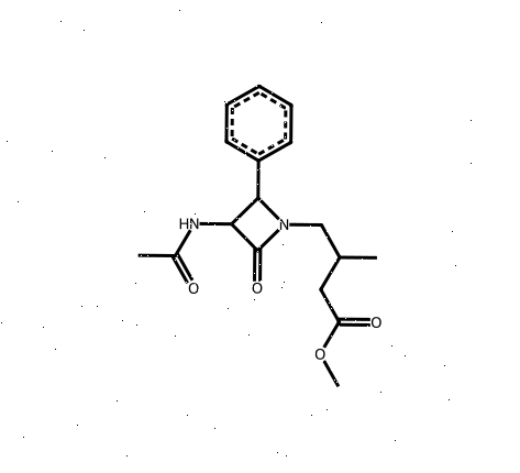 COC(=O)CC(C)CN1C(=O)C(NC(C)=O)C1c1ccccc1